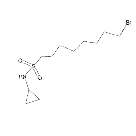 O=S(=O)(CCCCCCCCBr)NC1CC1